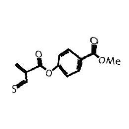 C=C(C=S)C(=O)Oc1ccc(C(=O)OC)cc1